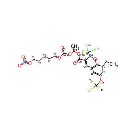 CCc1cc(OC(F)(F)F)cc2c1OC(C(F)(F)F)C(C(=O)OC(C)OC(=O)OCCOCCO[N+](=O)[O-])=C2